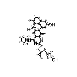 C#Cc1c(F)ccc2cc(O)cc(-c3c(C)cc4c(N5CC6CCC(C5)N6)nc(OCC5(CN6CC(O)C6)CC5)nc4c3F)c12